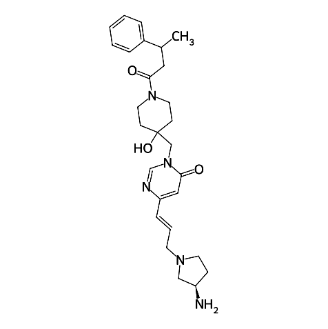 CC(CC(=O)N1CCC(O)(Cn2cnc(/C=C/CN3CC[C@@H](N)C3)cc2=O)CC1)c1ccccc1